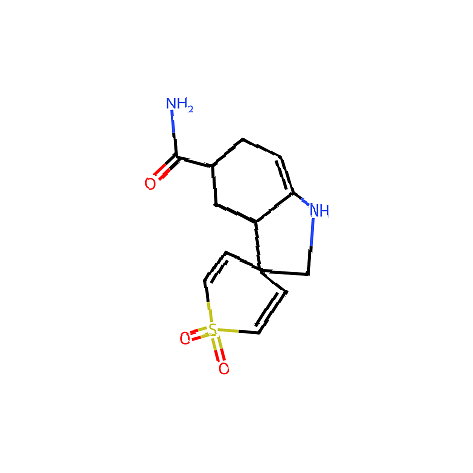 NC(=O)C1CC=C2NCC3(C=CS(=O)(=O)C=C3)C2C1